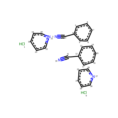 Cl.Cl.N#Cc1ccccc1.N#Cc1ccccc1.c1ccncc1.c1ccncc1